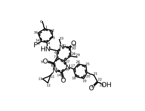 Cc1ccc(Nc2c3c(=O)n(C4CC4)c(=O)n(-c4ccc(CC(=O)O)cc4)c3c(C)c(=O)n2C)c(F)c1